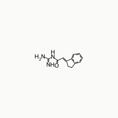 N=C(N)NC(=O)C=C1CCc2ccccc21